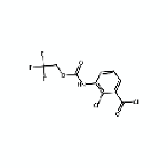 O=C(Nc1cccc(C(=O)Cl)c1Cl)OCC(F)(F)F